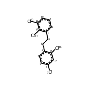 Clc1ccc([CH]Cc2cccc(Cl)c2Cl)c(Cl)c1